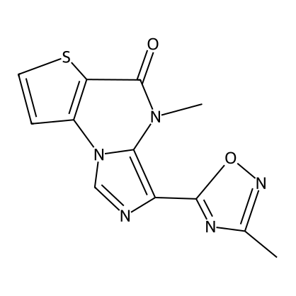 Cc1noc(-c2ncn3c4ccsc4c(=O)n(C)c23)n1